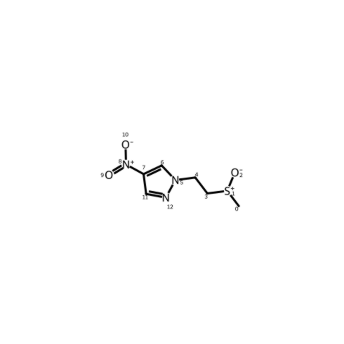 C[S+]([O-])CCn1cc([N+](=O)[O-])cn1